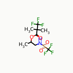 CC(CNS(=O)(=O)C(F)(F)F)OC(=O)C(C)(C)C(F)(F)F